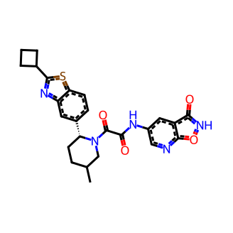 CC1CC[C@H](c2ccc3sc(C4CCC4)nc3c2)N(C(=O)C(=O)Nc2cnc3o[nH]c(=O)c3c2)C1